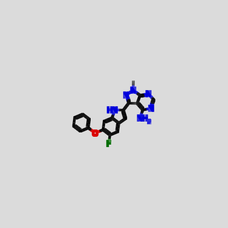 Cn1nc(-c2cc3cc(F)c(Oc4ccccc4)cc3[nH]2)c2c(N)ncnc21